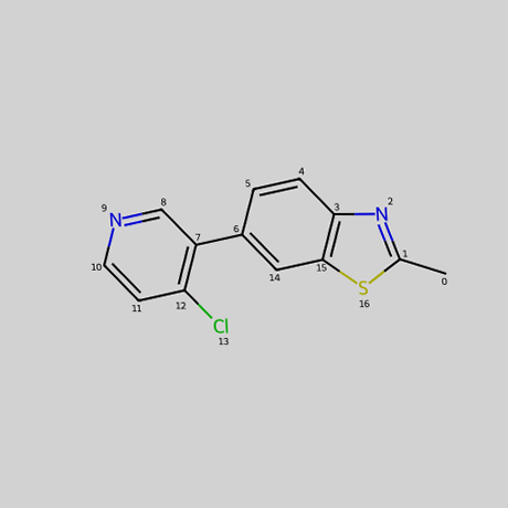 Cc1nc2ccc(-c3cnccc3Cl)cc2s1